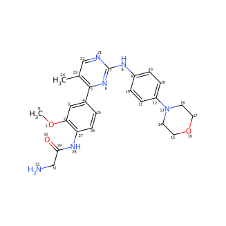 COc1cc(-c2nc(Nc3ccc(N4CCOCC4)cc3)ncc2C)ccc1NC(=O)CN